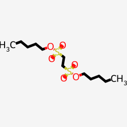 CCCCCOS(=O)(=O)CCS(=O)(=O)OCCCCC